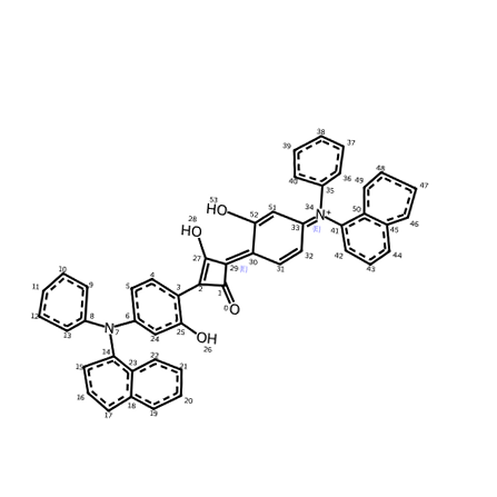 O=C1C(c2ccc(N(c3ccccc3)c3cccc4ccccc34)cc2O)=C(O)/C1=C1C=C/C(=[N+](/c2ccccc2)c2cccc3ccccc23)C=C/1O